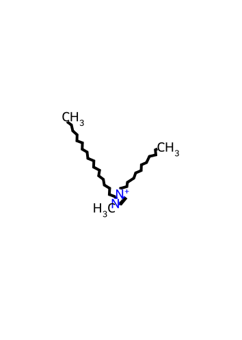 CCCCCCCCCCCCCCCCCCc1n(C)cc[n+]1CCCCCCCCCCCC